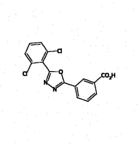 O=C(O)c1cccc(-c2nnc(-c3c(Cl)cccc3Cl)o2)c1